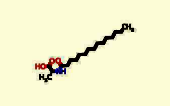 CCCCCCCCCCCCCCC(=O)N[C@H](C)C(=O)O